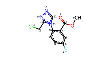 COC(=O)c1cc(F)ccc1-n1cnnc1CCl